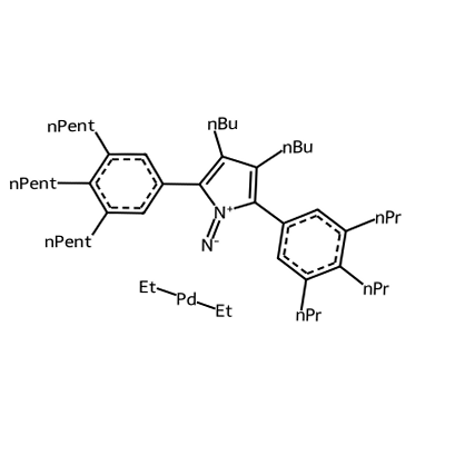 CCCCCc1cc(C2=C(CCCC)C(CCCC)=C(c3cc(CCC)c(CCC)c(CCC)c3)[N+]2=[N-])cc(CCCCC)c1CCCCC.C[CH2][Pd][CH2]C